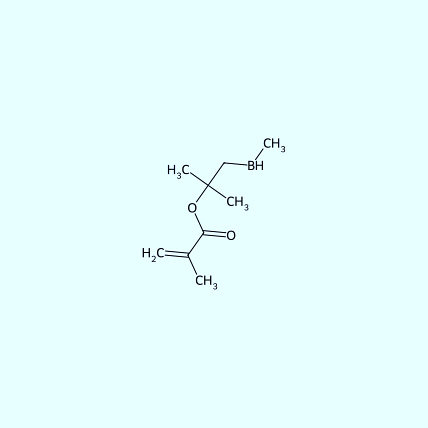 C=C(C)C(=O)OC(C)(C)CBC